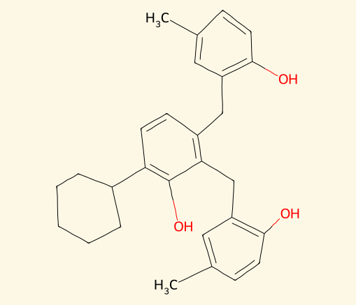 Cc1ccc(O)c(Cc2ccc(C3CCCCC3)c(O)c2Cc2cc(C)ccc2O)c1